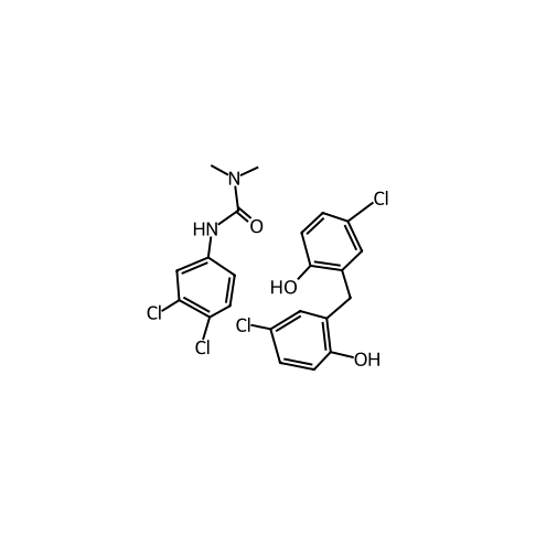 CN(C)C(=O)Nc1ccc(Cl)c(Cl)c1.Oc1ccc(Cl)cc1Cc1cc(Cl)ccc1O